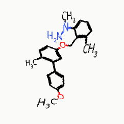 COc1ccc(-c2cc(OCc3c(C)cccc3N(C)N)ccc2C)cc1